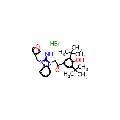 Br.CC(C)(C)c1cc(C(=O)Cn2c(=N)n(Cc3ccoc3)c3ccccc32)cc(C(C)(C)C)c1O